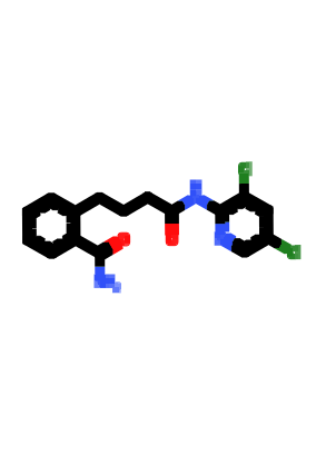 NC(=O)c1ccccc1CC[CH]C(=O)Nc1ncc(Cl)cc1Cl